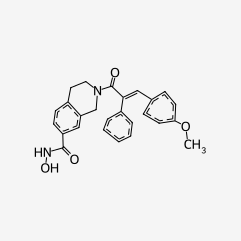 COc1ccc(/C=C(/C(=O)N2CCc3ccc(C(=O)NO)cc3C2)c2ccccc2)cc1